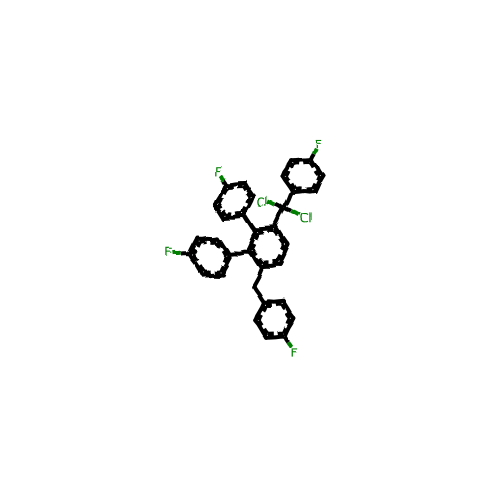 Fc1ccc(Cc2ccc(C(Cl)(Cl)c3ccc(F)cc3)c(-c3ccc(F)cc3)c2-c2ccc(F)cc2)cc1